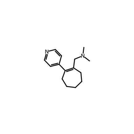 CN(C)CC1=C(c2ccncc2)CCCCC1